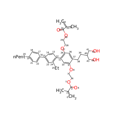 C=C(C)C(=O)OCCOc1cc(-c2ccc(-c3ccc(CCCCC)cc3)cc2CC)c(OCCOC(=O)C(=C)C)cc1CCC(CO)CO